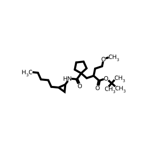 CCCCCC1CC1NC(=O)C1(CC(CCOC)C(=O)OC(C)(C)C)CCCC1